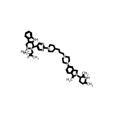 C=C1CCC(N2Cc3cc(N4CCN(CCCC5CCN(c6ncc(C7c8[nH]c9ccccc9c8CN(C)N7CC(C)(C)F)cn6)CC5)CC4)ccc3C2=C)C(=C)N1